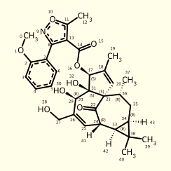 COc1ccccc1-c1noc(C)c1C(=O)O[C@H]1C(C)=C[C@]23C(=O)[C@@H](C=C(CO)[C@@H](O)[C@]12O)[C@H]1[C@@H](C[C@H]3C)C1(C)C